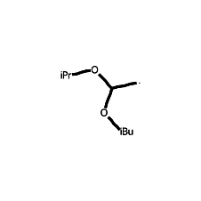 [CH2]C(OC(C)C)OC(C)CC